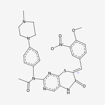 COc1ccc(/C=C2\Sc3nc(N(C(C)=O)c4ccc(N5CCN(C)CC5)cc4)ncc3NC2=O)cc1[N+](=O)[O-]